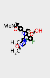 C=CC(=O)N1CCn2nc(-c3nc(-c4ccc(C5(C(=O)NC)CC5)cc4)c4ccsc4c3-c3c(F)cc(F)cc3OCCO)cc2C1C